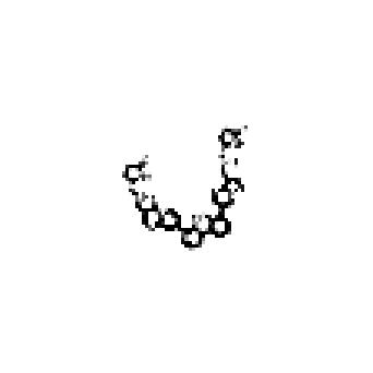 O=C1CC[C@H](CNCc2cnc3cc(-c4cccc(-c5cccc(-c6cnc7c(CNC[C@@H]8CCC(=O)N8)cnn7c6)c5Cl)c4Cl)ccn3c2=O)N1